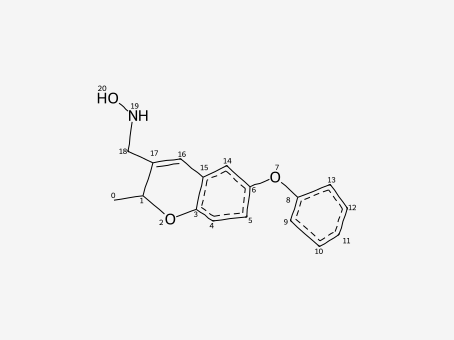 CC1Oc2ccc(Oc3ccccc3)cc2C=C1CNO